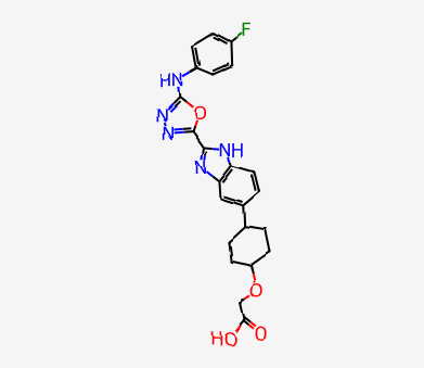 O=C(O)COC1CCC(c2ccc3[nH]c(-c4nnc(Nc5ccc(F)cc5)o4)nc3c2)CC1